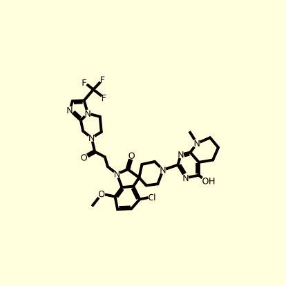 COc1ccc(Cl)c2c1N(CCC(=O)N1CCn3c(C(F)(F)F)cnc3C1)C(=O)C21CCN(c2nc(O)c3c(n2)N(C)CCC3)CC1